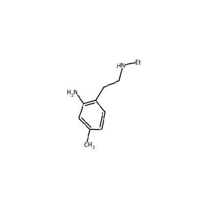 CCNCCc1ccc(C)cc1N